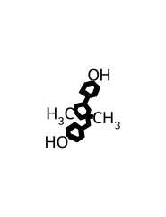 CC1CC(c2ccc(O)cc2)CC(C)(Cc2ccc(O)cc2)C1